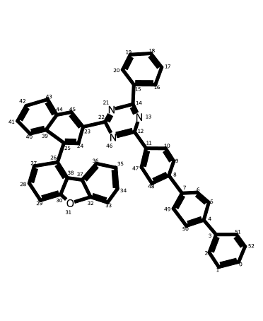 c1ccc(-c2ccc(-c3ccc(-c4nc(-c5ccccc5)nc(-c5cc(-c6cccc7oc8ccccc8c67)c6ccccc6c5)n4)cc3)cc2)cc1